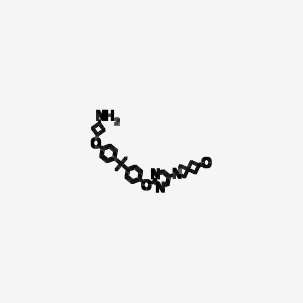 CC(C)(c1ccc(Oc2ncc(N3CC4(CC(=O)C4)C3)cn2)cc1)c1ccc(OC2CC(N)C2)cc1